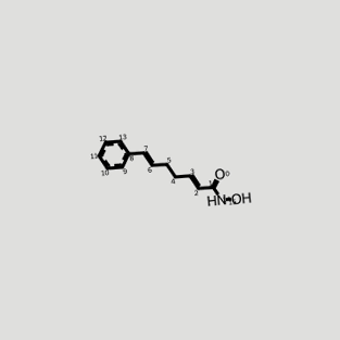 O=C(/C=C/CC/C=C/c1ccccc1)NO